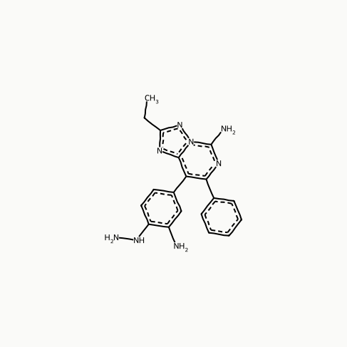 CCc1nc2c(-c3ccc(NN)c(N)c3)c(-c3ccccc3)nc(N)n2n1